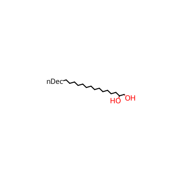 CCCCCCCCCCCCCCCCCCCCCCCC(O)CO